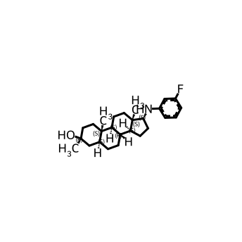 C[C@@]1(O)CC[C@@]2(C)[C@@H](CC[C@@H]3[C@@H]2CC[C@]2(C)[C@@H](Nc4cccc(F)c4)CC[C@@H]32)C1